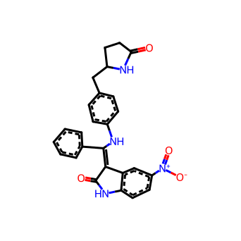 O=C1CCC(Cc2ccc(NC(=C3C(=O)Nc4ccc([N+](=O)[O-])cc43)c3ccccc3)cc2)N1